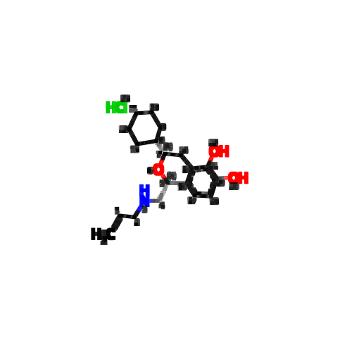 C=CCNC[C@@H]1O[C@H](C2CCCCC2)Cc2c1ccc(O)c2O.Cl